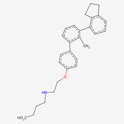 Cc1c(-c2ccc(OCCNCCCC(=O)O)cc2)cccc1-c1cccc2c1CCC2